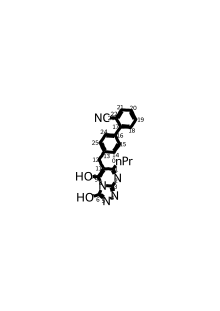 CCCc1nc2nnc(O)n2c(O)c1Cc1ccc(-c2ccccc2C#N)cc1